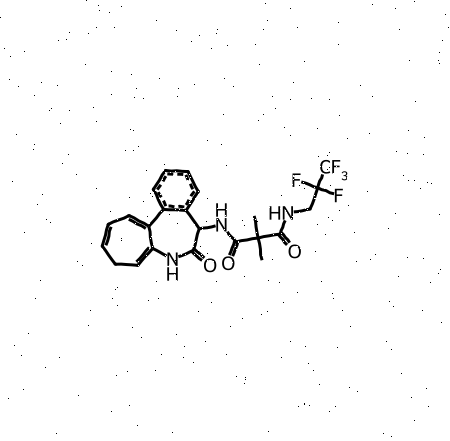 CC(C)(C(=O)NCC(F)(F)C(F)(F)F)C(=O)NC1C(=O)NC2=CCC=CC=C2c2ccccc21